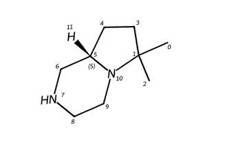 CC1(C)CC[C@H]2CNCCN21